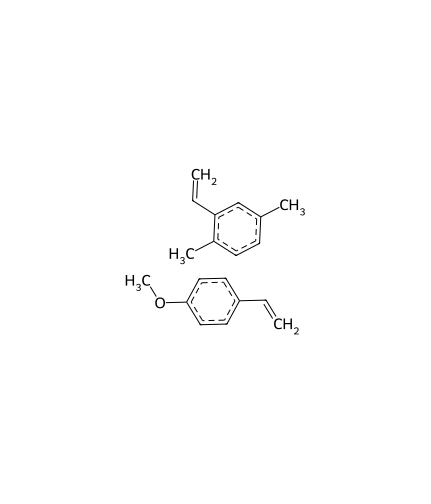 C=Cc1cc(C)ccc1C.C=Cc1ccc(OC)cc1